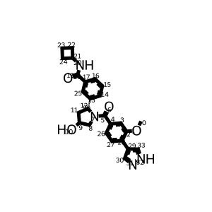 COc1cc(C(=O)N2CC(O)C[C@@H]2c2cccc(C(=O)NC3CCC3)c2)ccc1-c1cn[nH]c1